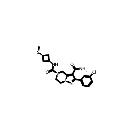 CS[C@H]1C[C@@H](NC(=O)N2CCn3nc(-c4cccc(Cl)c4)c(C(N)=O)c3C2)C1